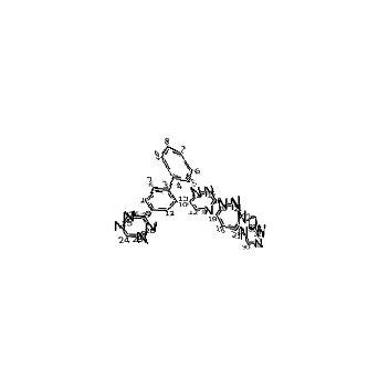 c1ccc(-c2ccccc2)cc1.c1cnncn1.c1cnnnc1.c1nncnn1.c1nnon1